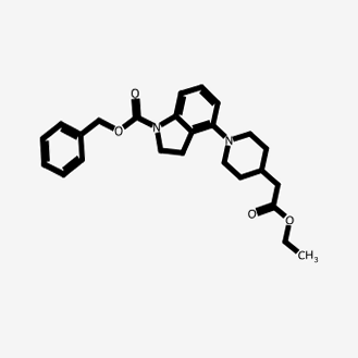 CCOC(=O)CC1CCN(c2cccc3c2CCN3C(=O)OCc2ccccc2)CC1